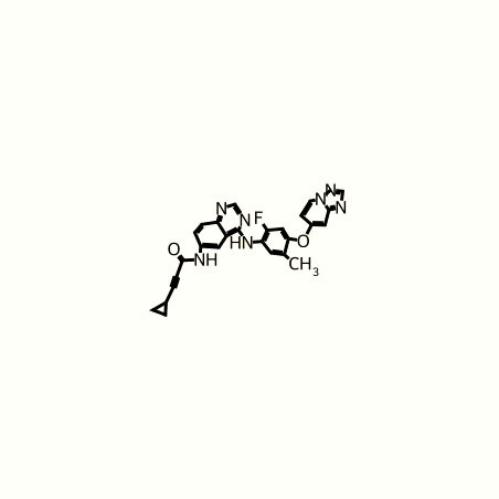 Cc1cc(Nc2ncnc3ccc(NC(=O)C#CC4CC4)cc23)c(F)cc1Oc1ccn2ncnc2c1